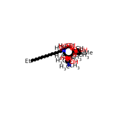 CCC=CCC=CCC=CCC=CCC=CCC=CCCC(=O)N1C[C@H](C)C[C@@](C)(O)[C@H](O[C@@H]2O[C@H](C)C[C@H](N(C)C)[C@H]2O)[C@@H](C)[C@H](OC2CC(C)(OC)C(O)C(C)O2)[C@@H](C)C(=O)O[C@H](CC)[C@@](C)(O)[C@H](O)C1C